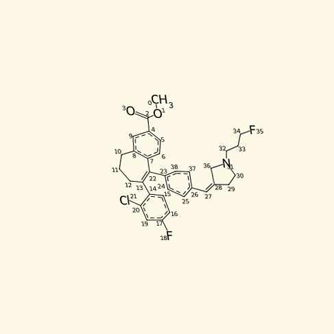 COC(=O)c1ccc2c(c1)CCCC(c1ccc(F)cc1Cl)=C2c1ccc(/C=C2/CCN(CCCF)C2)cc1